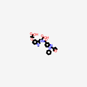 Cn1cc(C[C@H](NC(=O)c2ccc3c(c2)nc(-c2ccoc2)n3C2CCCCC2)C(=O)O)c2cc(OC(C)(C)C(=O)O)ccc21